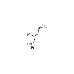 C=C/C=C(/CNC(C)C)C(C)C